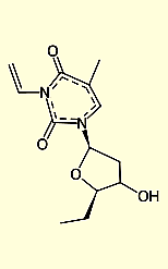 C=Cn1c(=O)c(C)cn([C@H]2CC(O)[C@@H](CC)O2)c1=O